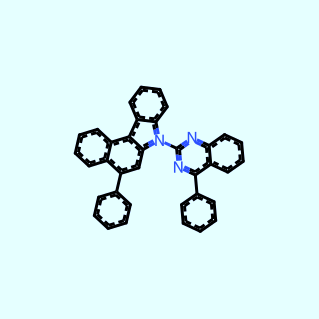 c1ccc(-c2nc(-n3c4ccccc4c4c5ccccc5c(-c5ccccc5)cc43)nc3ccccc23)cc1